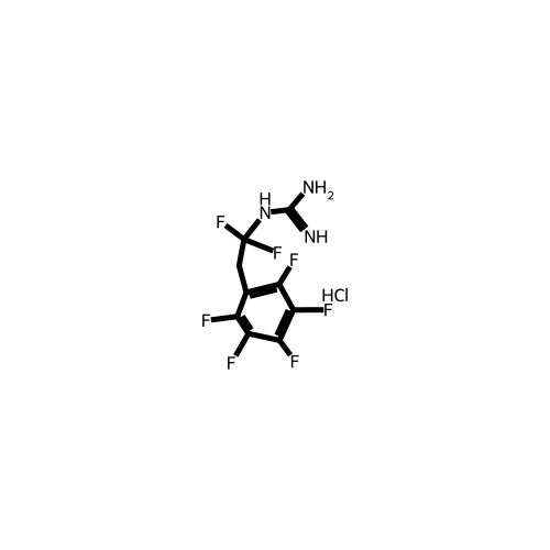 Cl.N=C(N)NC(F)(F)Cc1c(F)c(F)c(F)c(F)c1F